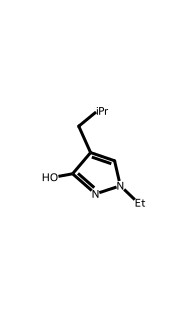 CCn1cc(CC(C)C)c(O)n1